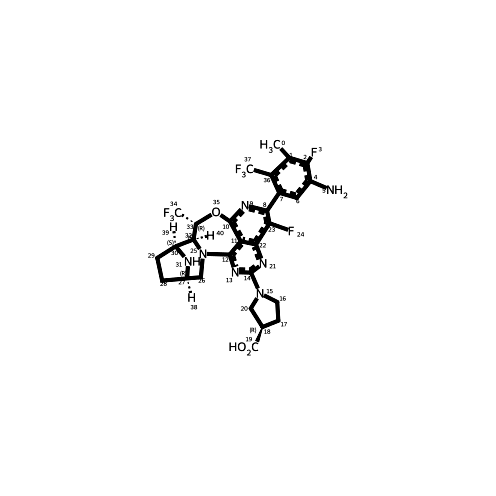 Cc1c(F)c(N)cc(-c2nc3c4c(nc(N5CC[C@@H](C(=O)O)C5)nc4c2F)N2C[C@H]4CC[C@H](N4)[C@H]2[C@H](C(F)(F)F)O3)c1C(F)(F)F